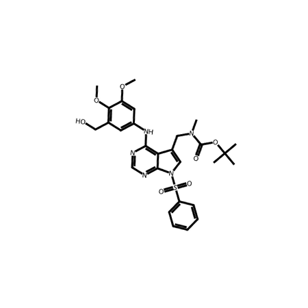 COc1cc(Nc2ncnc3c2c(CN(C)C(=O)OC(C)(C)C)cn3S(=O)(=O)c2ccccc2)cc(CO)c1OC